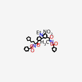 CCn1c2ccc(C(=O)/C(CCC3CCCC3)=N/OC(=O)c3ccccc3)cc2c2cc(C(=O)/C(C)=N/OC(=O)c3ccccc3)cc([N+](=O)[O-])c21